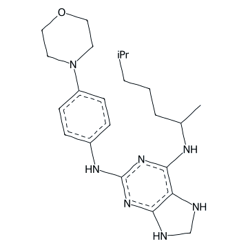 CC(C)CCCC(C)Nc1nc(Nc2ccc(N3CCOCC3)cc2)nc2c1NCN2